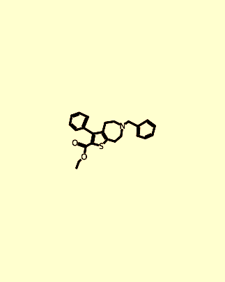 CCOC(=O)c1sc2c(c1-c1ccccc1)CCN(Cc1ccccc1)CC2